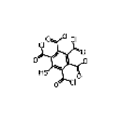 O=C(Cl)c1c(S)c(C(=O)Cl)c(C(=O)Cl)c(C(=O)Cl)c1C(=O)Cl